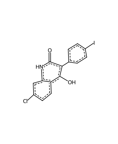 O=c1[nH]c2cc(Cl)ccc2c(O)c1-c1ccc(I)cc1